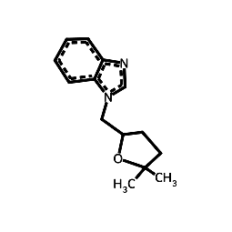 CC1(C)CCC(Cn2cnc3ccccc32)O1